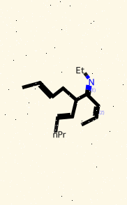 CC=CCC(C=CCCC)C(/C=C\C)=N\CC